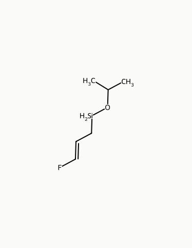 CC(C)O[SiH2]CC=CF